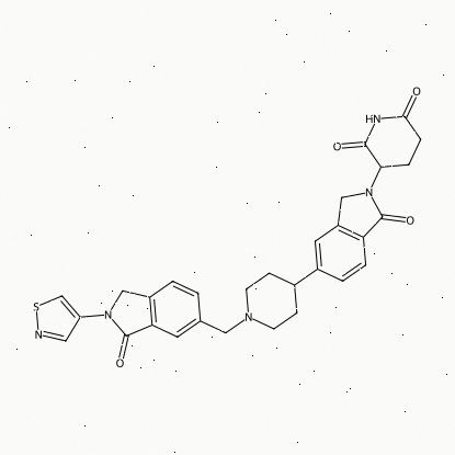 O=C1CCC(N2Cc3cc(C4CCN(Cc5ccc6c(c5)C(=O)N(c5cnsc5)C6)CC4)ccc3C2=O)C(=O)N1